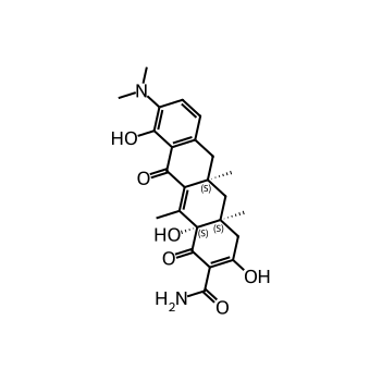 CC1=C2C(=O)c3c(ccc(N(C)C)c3O)C[C@@]2(C)C[C@@]2(C)CC(O)=C(C(N)=O)C(=O)[C@@]12O